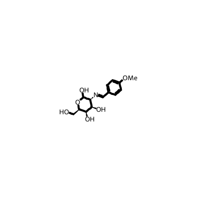 COc1ccc(C=N[C@H]2C(O)O[C@H](CO)[C@H](O)[C@@H]2O)cc1